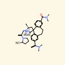 C=C(c1ccc2c(c1)CCc1cc(C(=O)N(C)C)ccc1C2(C[C@H](C)NCC(=C)N1CCCC1C#N)C(=N)NC)N(C)C